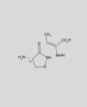 CC=C(NC(C)=O)C(=O)O.N[C@H]1CONC1=O